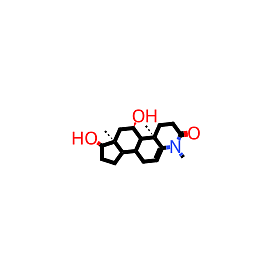 CN1C(=O)CC[C@@]2(C)C1=CCC1C3CCC(O)[C@@]3(C)C[C@H](O)C12